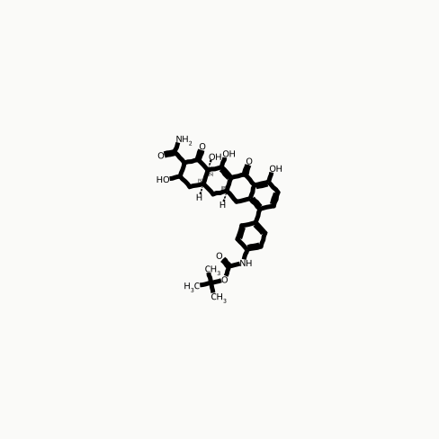 CC(C)(C)OC(=O)Nc1ccc(-c2ccc(O)c3c2C[C@H]2C[C@H]4CC(O)C(C(N)=O)C(=O)[C@@]4(O)C(O)=C2C3=O)cc1